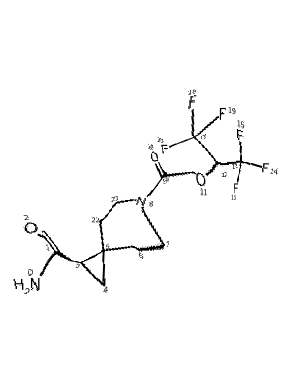 NC(=O)[C@@H]1CC12CCN(C(=O)OC(C(F)(F)F)C(F)(F)F)CC2